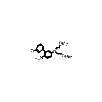 COCCN(CCOC)c1ccc(N)c(-c2cccc(Cl)c2)c1